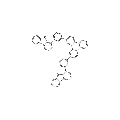 C1=CC2c3ccccc3-c3ccc(-c4cccc(-c5cccc6c5sc5ccccc56)c4)cc3C2C=C1c1cccc(-c2cccc3c2sc2ccccc23)c1